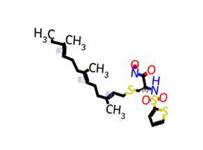 CC/C(C)=C/CC/C(C)=C/CC/C(C)=C/CSC[C@H](NS(=O)(=O)c1cccs1)C(=O)N=O